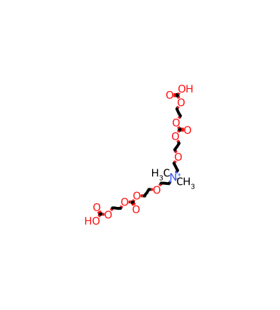 C[N+](C)(CCOCCOC(=O)OCCOC(=O)O)CCOCCOC(=O)OCCOC(=O)O